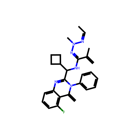 C=C(C)/C(=N\N(C)/N=C\C)NC(C1=Nc2cccc(F)c2C(=C)N1c1ccccc1)C1CCC1